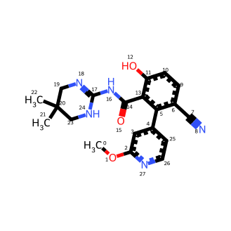 COc1cc(-c2c(C#N)ccc(O)c2C(=O)NC2=NCC(C)(C)CN2)ccn1